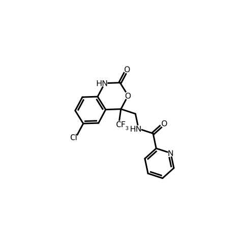 O=C1Nc2ccc(Cl)cc2C(CNC(=O)c2ccccn2)(C(F)(F)F)O1